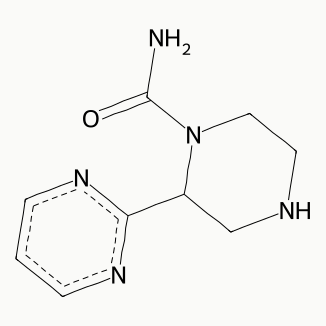 NC(=O)N1CCNCC1c1ncccn1